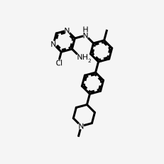 Cc1ccc(-c2ccc(C3CCN(C)CC3)cc2)cc1Nc1ncnc(Cl)c1N